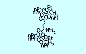 CCCOC(C)(OCC)C(OCCC)(OCCC)OC(=O)CC[C@H](N)C(=O)OC(OCCC)(OCCC)C(C)(OCC)OCCC